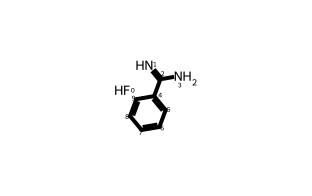 F.N=C(N)c1ccccc1